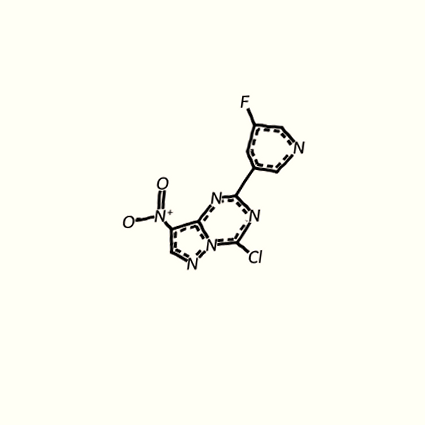 O=[N+]([O-])c1cnn2c(Cl)nc(-c3cncc(F)c3)nc12